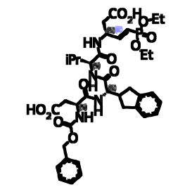 CCOP(=O)(/C=C/[C@H](CC(=O)O)NC(=O)[C@@H](NC(=O)[C@@H](NC(=O)[C@H](CC(=O)O)NC(=O)OCc1ccccc1)C1Cc2ccccc2C1)C(C)C)OCC